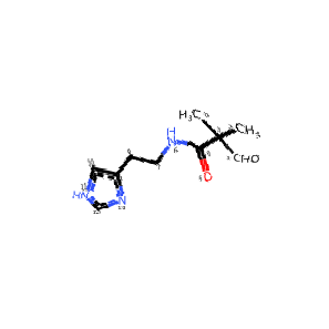 CC(C)(C=O)C(=O)NCCc1c[nH]cn1